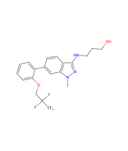 Cn1nc(NCCCO)c2ccc(-c3ccccc3OCC(F)(F)C(F)(F)F)cc21